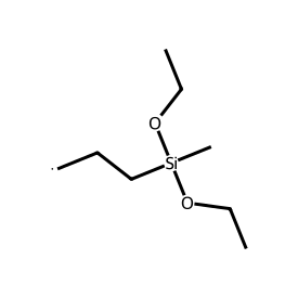 [CH2]CC[Si](C)(OCC)OCC